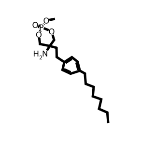 CCCCCCCCc1ccc(CCC2(N)COP(=O)(OC)OC2)cc1